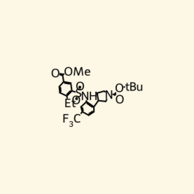 CCc1ccc(C(=O)OC)cc1S(=O)(=O)Nc1cc(C(F)(F)F)ccc1C1CCN(C(=O)OC(C)(C)C)C1